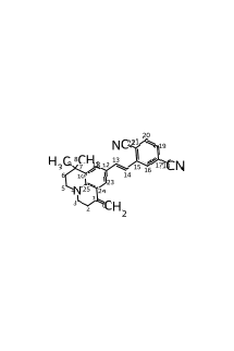 C=C1CCN2CCC(C)(C)c3cc(C=Cc4cc(C#N)ccc4C#N)cc1c32